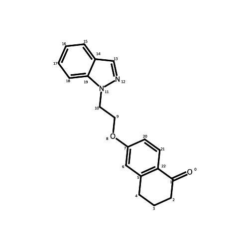 O=C1CCCc2cc(OCCn3ncc4ccccc43)ccc21